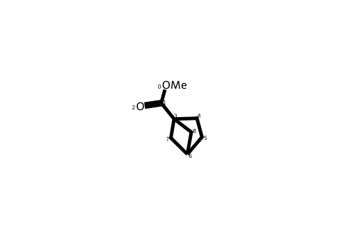 COC(=O)C12CCC(C1)C2